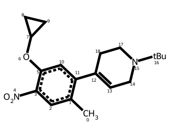 Cc1cc([N+](=O)[O-])c(OC2CC2)cc1C1=CCN(C(C)(C)C)CC1